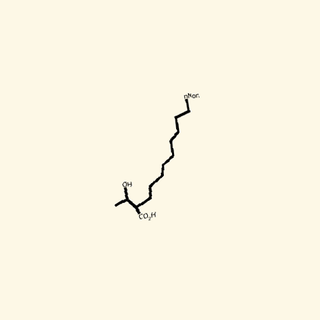 CCCCCCCCCCCCCCCCCCC(C(=O)O)C(C)O